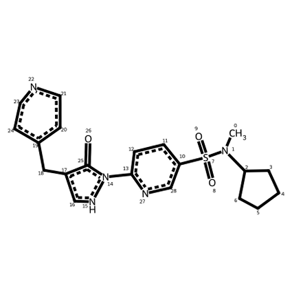 CN(C1CCCC1)S(=O)(=O)c1ccc(-n2[nH]cc(Cc3ccncc3)c2=O)nc1